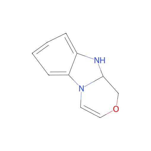 C1=CN2c3ccccc3NC2CO1